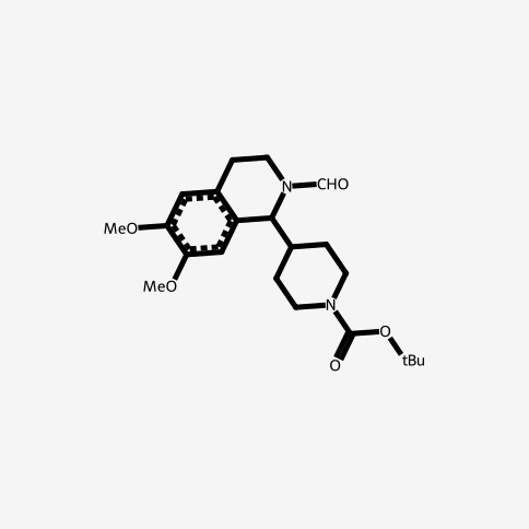 COc1cc2c(cc1OC)C(C1CCN(C(=O)OC(C)(C)C)CC1)N(C=O)CC2